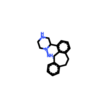 NN1CCNCC1c1cccc2c1Cc1ccccc1CC2